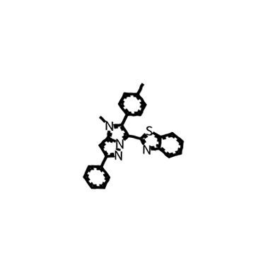 Cc1ccc(-c2c(-c3nc4ccccc4s3)n3nc(-c4ccccc4)cc3n2C)cc1